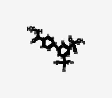 CNC(=O)c1ccc(-c2cc(C(F)(F)F)nc(S(C)(=O)=O)n2)cc1